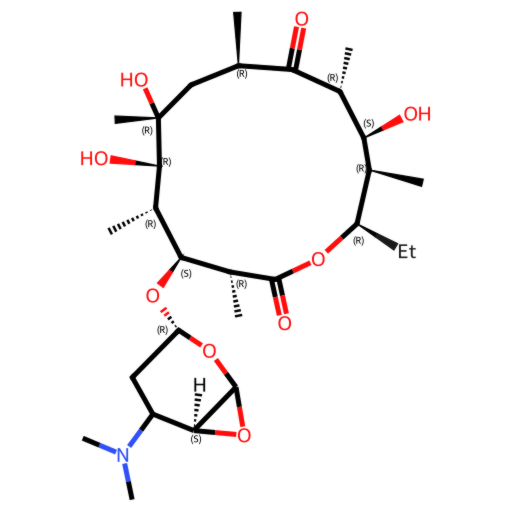 CC[C@H]1OC(=O)[C@H](C)[C@@H](O[C@H]2CC(N(C)C)[C@@H]3OC3O2)[C@H](C)[C@@H](O)[C@](C)(O)C[C@@H](C)C(=O)[C@H](C)[C@@H](O)[C@H]1C